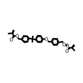 C=C(C)C(=O)OCc1ccc(C(C)(C)c2ccc(OCc3ccc(COOC(=O)C(=C)C)cc3)cc2)cc1